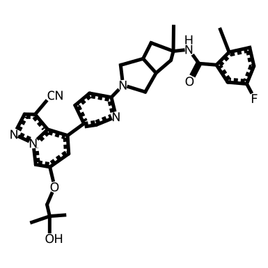 Cc1ccc(F)cc1C(=O)NC1(C)CC2CN(c3ccc(-c4cc(OCC(C)(C)O)cn5ncc(C#N)c45)cn3)CC2C1